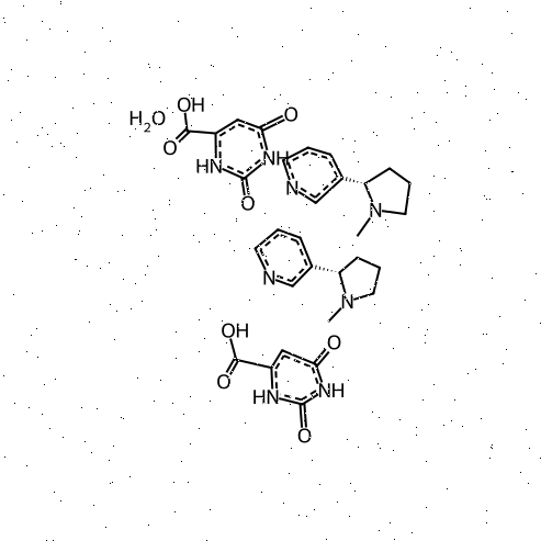 CN1CCC[C@H]1c1cccnc1.CN1CCC[C@H]1c1cccnc1.O.O=C(O)c1cc(=O)[nH]c(=O)[nH]1.O=C(O)c1cc(=O)[nH]c(=O)[nH]1